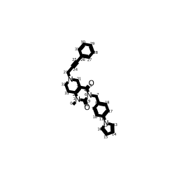 Cn1c2c(c(=O)n(Cc3ccc(-n4cccc4)cc3)c1=O)CN(CC#Cc1ccccc1)CC2